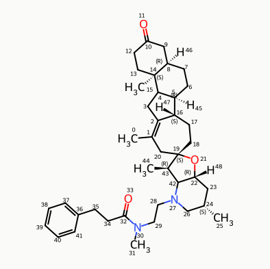 CC1=C2CC3[C@@H](CC[C@@H]4CC(=O)CC[C@]34C)[C@@H]2CC[C@@]2(C1)O[C@@H]1C[C@H](C)CN(CCN(C)C(=O)CCc3ccccc3)C1[C@H]2C